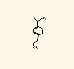 CCCC1=CC=C(C(C)I)CC1